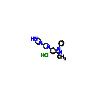 Cc1nn(-c2ccccc2)c2cc(N3CCC(N4CCNCC4)CC3)ccc12.Cl